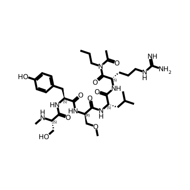 CCCN(C(C)=O)C(=O)[C@H](CCCNC(=N)N)NC(=O)[C@H](CC(C)C)NC(=O)[C@@H](COC)NC(=O)[C@H](Cc1ccc(O)cc1)NC(=O)[C@H](CO)NC